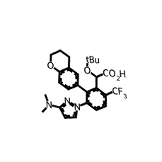 CN(C)c1ccn(-c2ccc(C(F)(F)F)c(C(OC(C)(C)C)C(=O)O)c2-c2ccc3c(c2)CCCO3)n1